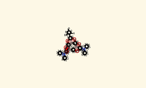 Cc1cc(C)c(-c2cc3c4c(c2)Oc2cc5c(cc2B4c2cc4c(cc2O3)Oc2cc(N(c3ccccc3)c3ccccc3)cc3c2B4c2ccccc2O3)B2c3ccccc3Oc3cc(N(c4ccccc4)c4ccccc4)cc(c32)O5)c(C)c1